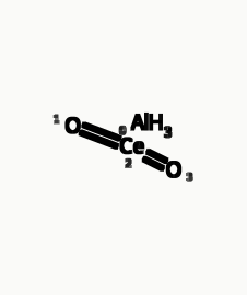 [AlH3].[O]=[Ce]=[O]